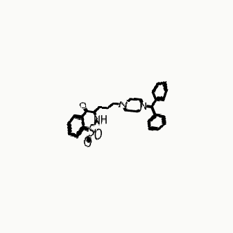 O=C1c2ccccc2S(=O)(=O)NC1CCCN1CCN(C(c2ccccc2)c2ccccc2)CC1